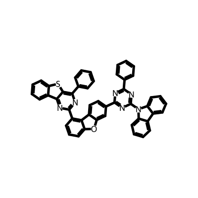 c1ccc(-c2nc(-c3ccc4c(c3)oc3cccc(-c5nc(-c6ccccc6)c6sc7ccccc7c6n5)c34)nc(-n3c4ccccc4c4ccccc43)n2)cc1